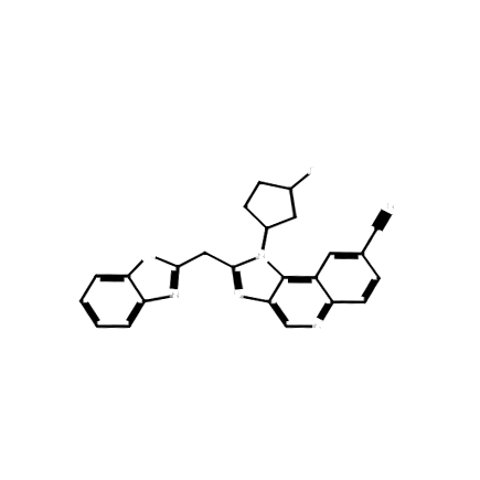 N#Cc1ccc2ncc3nc(Cc4nc5ccccc5o4)n(C4CCC(F)C4)c3c2c1